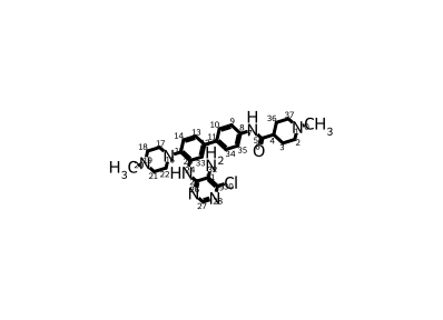 CN1CCC(C(=O)Nc2ccc(-c3ccc(N4CCN(C)CC4)c(Nc4ncnc(Cl)c4N)c3)cc2)CC1